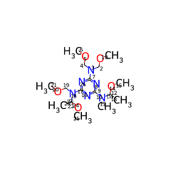 COCN(COC)c1nc(N(C)[C@H](C)OC)nc(N(COC)[C@H](C)OC)n1